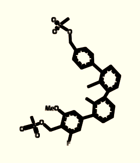 COc1cc(-c2cccc(-c3cccc(-c4ccc(COS(C)(=O)=O)cc4)c3C)c2C)cc(F)c1COS(C)(=O)=O